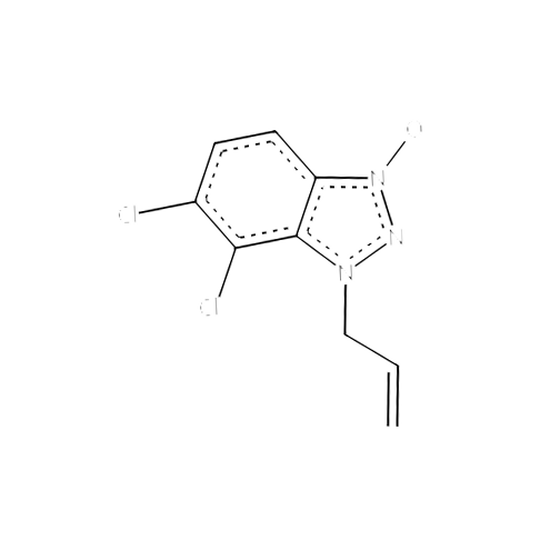 C=CCn1n[n+]([O-])c2ccc(Cl)c(Cl)c21